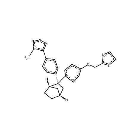 Cn1nnnc1-c1ccc([C@]2(c3ccc(OCc4nccs4)cc3)C[C@@H]3CC[C@H]2C3)cc1